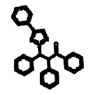 O=C(c1ccccc1)C(c1ccccc1)C(c1ccccc1)n1ncc(-c2ccccc2)n1